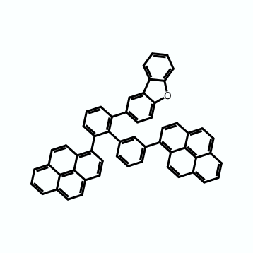 c1cc(-c2c(-c3ccc4oc5ccccc5c4c3)cccc2-c2ccc3ccc4cccc5ccc2c3c45)cc(-c2ccc3ccc4cccc5ccc2c3c45)c1